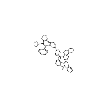 c1ccc(-c2c(-c3ccccc3)c3cc(-c4ccc(N(c5cccc6c5ccc5ccccc56)c5cccc6oc7c8ccccc8ccc7c56)cc4)ccc3c3ccccc23)cc1